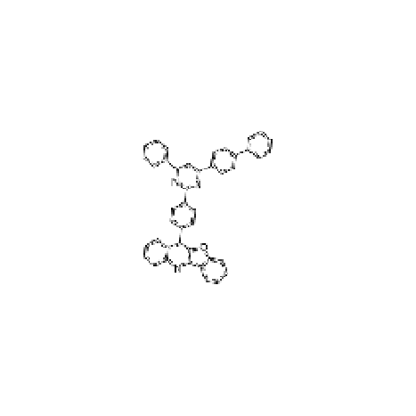 c1ccc(-c2ccc(-c3cc(-c4ccccc4)nc(-c4ccc(-c5c6ccccc6nc6c5oc5ccccc56)cc4)n3)cc2)cc1